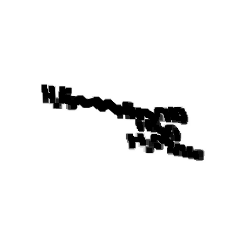 CNC(C)C(=O)NC(C=O)CNSCC/C=C/CCSN